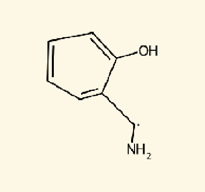 N[CH]c1ccccc1O